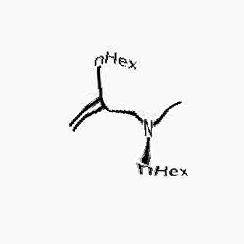 C=C(CCCCCC)N(C)CCCCCC